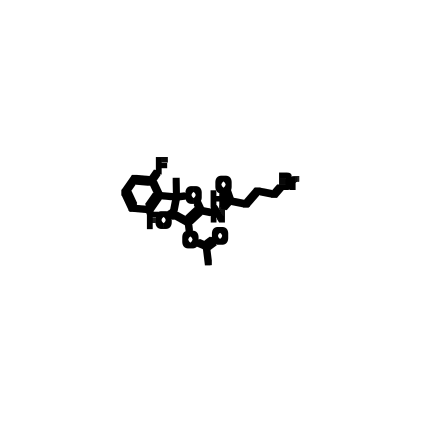 CC(=O)OC1=C(NC(=O)CCCBr)OC(C)(c2c(F)cccc2F)C1=O